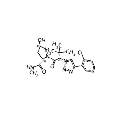 CNC(=O)[C@@H]1C[C@@H](O)CN1C(=O)[C@@H](n1cc(-c2ccccc2Cl)nn1)C(C)(C)C